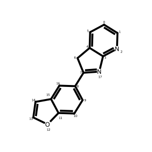 c1cnc2c(c1)CC(c1ccc3occc3c1)=N2